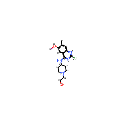 Cc1cc2nc(Cl)nc(NC3CCN(CCO)CC3)c2cc1OI